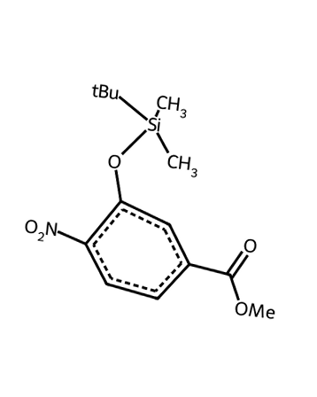 COC(=O)c1ccc([N+](=O)[O-])c(O[Si](C)(C)C(C)(C)C)c1